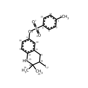 Cc1ccc(S(=O)(=O)Oc2ccc3c(c2)CC(I)C(C)(C)N3)cc1